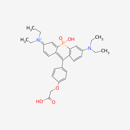 CCN(CC)c1ccc2c(c1)P(=O)(O)C1=CC(=[N+](CC)CC)C=CC1=C2c1ccc(OCC(=O)O)cc1